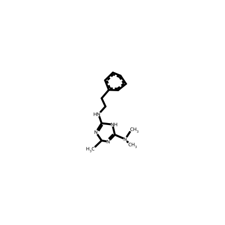 CC1N=C(NCCc2ccccc2)NC(N(C)C)=N1